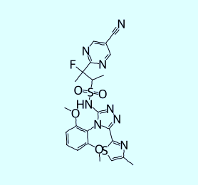 COc1cccc(OC)c1-n1c(NS(=O)(=O)C(C)C(C)(F)c2ncc(C#N)cn2)nnc1-c1nc(C)cs1